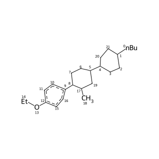 CCCCC1CCC(C2CCC(c3ccc(OCC)cc3)C(C)C2)CC1